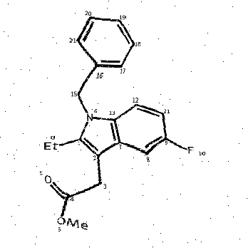 CCc1c(CC(=O)OC)c2cc(F)ccc2n1Cc1ccccc1